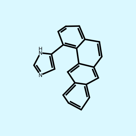 c1ccc2cc3c(ccc4cccc(-c5cnc[nH]5)c43)cc2c1